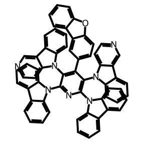 c1ccc2c(c1)oc1ccc(-c3c(-n4c5ccccc5c5cnccc54)c(-n4c5ccccc5c5ccccc54)nc(-n4c5ccccc5c5ccccc54)c3-n3c4ccccc4c4cnccc43)cc12